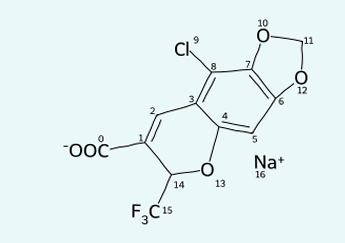 O=C([O-])C1=Cc2c(cc3c(c2Cl)OCO3)OC1C(F)(F)F.[Na+]